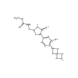 COC(=O)NCC1CN(c2ccc(N3CC4(COC4)C3)c(F)c2)C(=O)O1